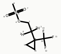 [2H]C([2H])(COS(C)(=O)=O)C1(C(F)(F)F)CC1